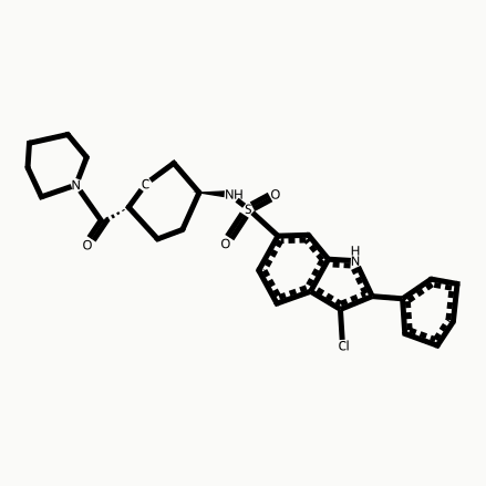 O=C([C@H]1CC[C@H](NS(=O)(=O)c2ccc3c(Cl)c(-c4ccccc4)[nH]c3c2)CC1)N1CCCCC1